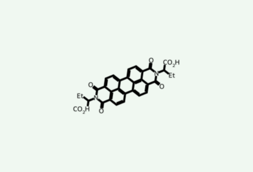 CCC(C(=O)O)N1C(=O)c2ccc3c4ccc5c6c(ccc(c7ccc(c2c37)C1=O)c64)C(=O)N(C(CC)C(=O)O)C5=O